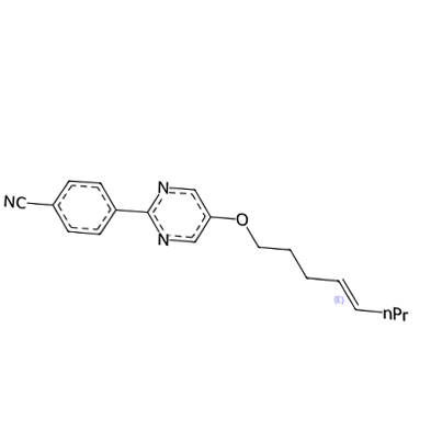 CCC/C=C/CCCOc1cnc(-c2ccc(C#N)cc2)nc1